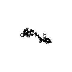 O=C(NCCCCN1CCN(c2cccc(Cl)c2Cl)CC1)c1cc2ccccc2[nH]1